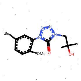 COc1ccc(C(C)(C)C)cc1-n1nnn(CC(C)(C)O)c1=O